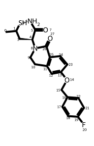 CC(S)C[C@@H](C(N)=O)N1CCc2cc(OCc3ccc(F)cc3)ccc2C1=O